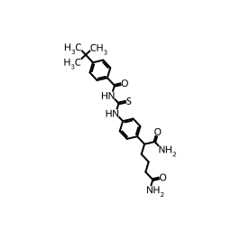 CC(C)(C)c1ccc(C(=O)NC(=S)Nc2ccc(C(CCCC(N)=O)C(N)=O)cc2)cc1